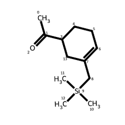 CC(=O)C1CCC=C(C[Si](C)(C)C)C1